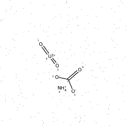 O=C([O-])[O-].[NH4+].[O]=[U+2]=[O]